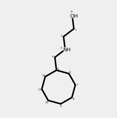 OCCNCC1CCCCCCC1